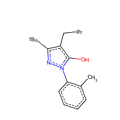 Cc1ccccc1-n1nc(C(C)(C)C)c(CC(C)C)c1O